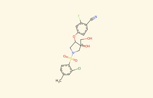 Cc1ccc(S(=O)(=O)N2CC(Oc3ccc(C#N)c(F)c3)[C@](O)(CO)C2)c(Cl)c1